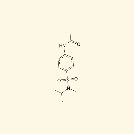 CC(=O)Nc1ccc(S(=O)(=O)N(C)C(C)C)cc1